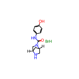 Br.O=C(Nc1ccc(O)cc1)N1C[C@@H]2C[C@H]1CN2